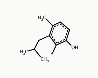 Cc1ccc(O)c(F)c1CC(C)C